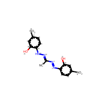 N#CC(/N=N/c1ccc([N+](=O)[O-])cc1O)=N\Nc1ccc([N+](=O)[O-])cc1O